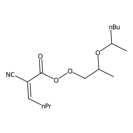 CCCC=C(C#N)C(=O)OOCC(C)OC(C)CCCC